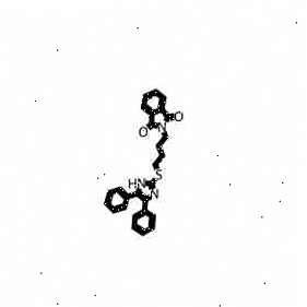 O=C1c2ccccc2C(=O)N1CCCCSc1nc(-c2ccccc2)c(-c2ccccc2)[nH]1